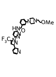 COCCN1CCN(c2cccc(C(=O)Nc3ccc(-n4nc(-c5cccnc5)cc4C(F)(F)F)nn3)c2)CC1